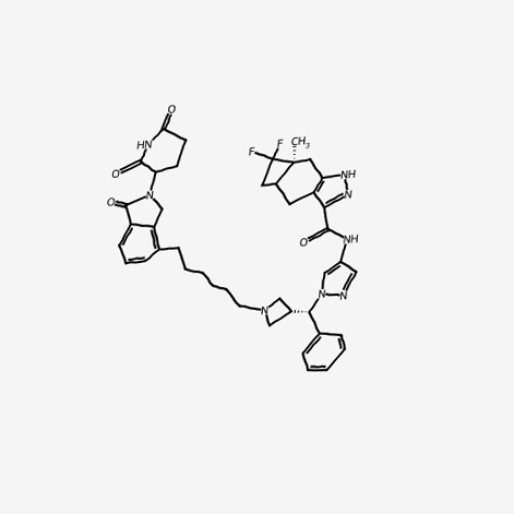 C[C@]12Cc3[nH]nc(C(=O)Nc4cnn([C@H](c5ccccc5)C5CN(CCCCCCc6cccc7c6CN(C6CCC(=O)NC6=O)C7=O)C5)c4)c3CC1CC2(F)F